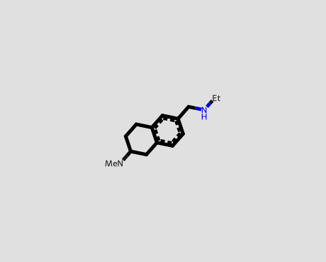 CCNCc1ccc2c(c1)CCC(NC)C2